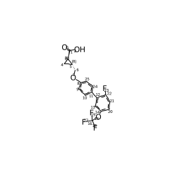 O=C(O)[C@@H]1C[C@H]1COc1ccc(-c2cc(OC(F)(F)F)ccc2F)cc1